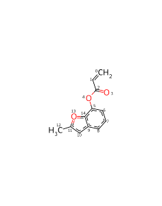 C=CC(=O)Oc1cccc2cc(C)oc12